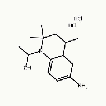 CC1CC(C)(C)N(C(C)O)C2=CC=C(N)CC21.Cl.Cl